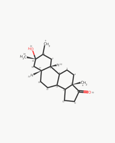 CC1C[C@@H]2C3CC[C@]4(C)C(=O)CCC4C3CC[C@@H]2C[C@]1(C)O